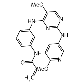 C=CC(=O)Nc1cccc(Nc2nc(Nc3ccc(OC)nc3)ncc2OC)c1